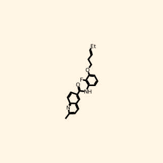 CCC=CCCOc1cccc(NC(=O)c2ccc3nc(C)ccc3c2)c1F